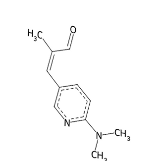 CC(C=O)=Cc1ccc(N(C)C)nc1